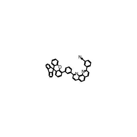 N#Cc1cccc(-c2ccc3ccc4ccc(-c5cccc(-c6cccc7c6Oc6ccccc6C76c7ccccc7-c7ccccc76)c5)nc4c3n2)c1